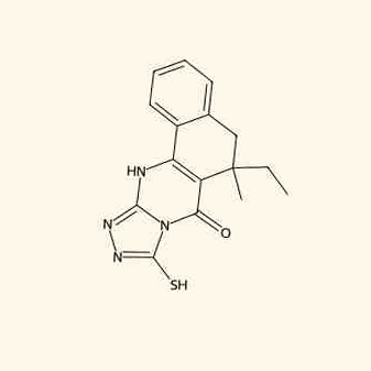 CCC1(C)Cc2ccccc2-c2[nH]c3nnc(S)n3c(=O)c21